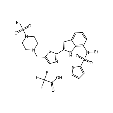 CCN(c1cccc2cc(-c3ncc(CN4CCN(S(=O)(=O)CC)CC4)s3)[nH]c12)S(=O)(=O)c1cccs1.O=C(O)C(F)(F)F